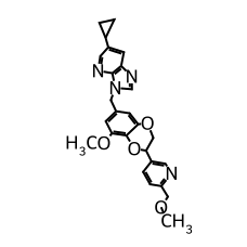 COCc1ccc(C2COc3cc(Cn4cnc5cc(C6CC6)cnc54)cc(OC)c3O2)cn1